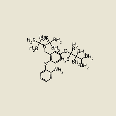 BC(B)C(B)(B)C(B)(B)Oc1ccc(Sc2ccccc2N)c(CN(C(B)(B)B)C(B)(B)B)c1